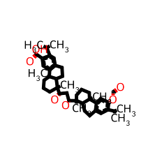 CC(C)c1cc2c(cc1OC=O)C1(C)CCCC(C)(C(=O)CC(=O)C3(C)CCCC4(C)c5cc(C(=O)O)c(C(C)C)cc5CCC34)C1CC2